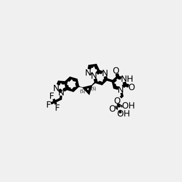 O=c1[nH]c(=O)n(COP(=O)(O)O)cc1-c1cc([C@H]2C[C@@H]2c2ccc3cnn(CC(F)(F)F)c3c2)n2nccc2n1